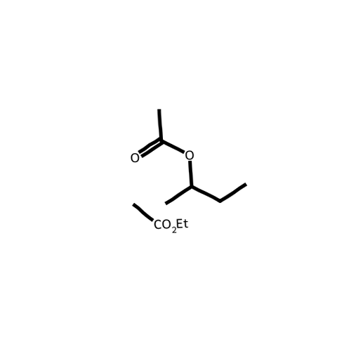 CCC(C)OC(C)=O.CCOC(C)=O